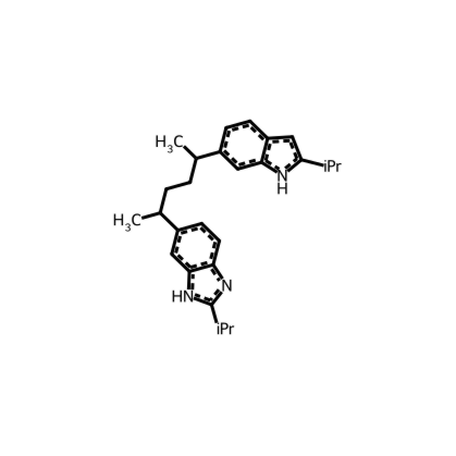 CC(C)c1cc2ccc(C(C)CCC(C)c3ccc4nc(C(C)C)[nH]c4c3)cc2[nH]1